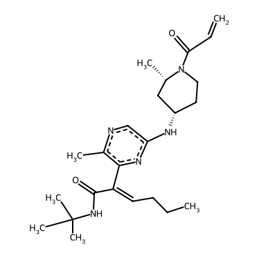 C=CC(=O)N1CC[C@H](Nc2cnc(C)c(/C(=C\CCC)C(=O)NC(C)(C)C)n2)C[C@@H]1C